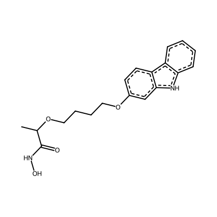 CC(OCCCCOc1ccc2c(c1)[nH]c1ccccc12)C(=O)NO